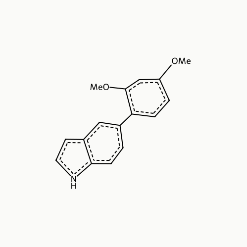 COc1ccc(-c2ccc3[nH]ccc3c2)c(OC)c1